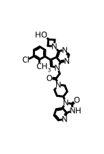 Cc1c(Cl)cccc1-c1cn(CC(=O)N2CCC(n3c(=O)[nH]c4ncccc43)CC2)c2ncnc(N3CC(O)C3)c12